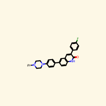 CC(C)N1CCN(c2ccc(-c3ccc4[nH]c(=O)c(-c5ccc(F)cc5)cc4c3)cc2)CC1